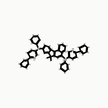 CC1(C)c2cc(N(c3ccccc3)c3ccc(-c4ccccc4)nc3)ccc2-c2c1cc(N(c1ccccc1)c1ccc(-c3ccccc3)nc1)c1ccccc21